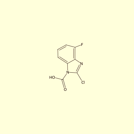 O=C(O)n1c(Cl)nc2c(F)cccc21